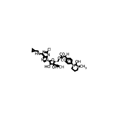 C#C[C@@]1(O)[C@@H](COC(Cc2ccc(N3CCCN(C)C3O)cc2)(C(=O)O)C(=O)O)O[C@@H](n2cnc3c(NCC4CC4)nc(Cl)nc32)[C@@H]1O